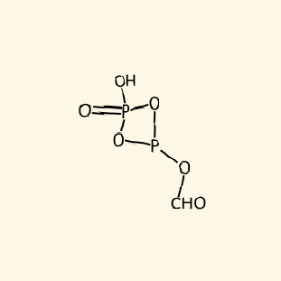 O=COP1OP(=O)(O)O1